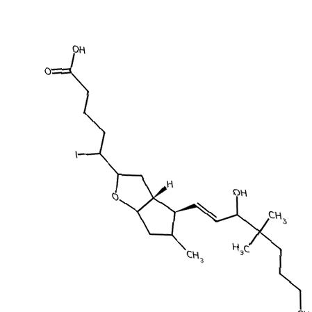 CCCCC(C)(C)C(O)/C=C/[C@H]1C(C)CC2OC(C(I)CCCC(=O)O)C[C@@H]21